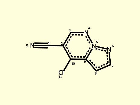 N#Cc1cnn2nccc2c1Cl